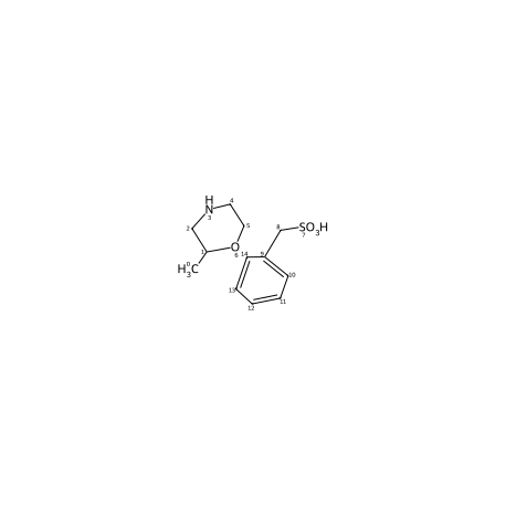 CC1CNCCO1.O=S(=O)(O)Cc1ccccc1